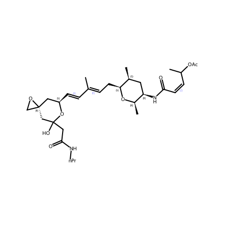 CCCNC(=O)CC1(O)C[C@@]2(CO2)C[C@@H](/C=C/C(C)=C/C[C@@H]2O[C@H](C)[C@H](NC(=O)/C=C\C(C)OC(C)=O)C[C@@H]2C)O1